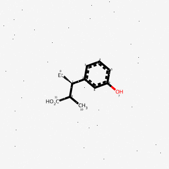 CC[C@@H](c1cccc(O)c1)C(C)C(=O)O